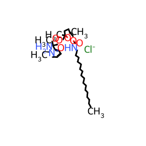 CCCCCCCCCCCCCCCCCCNC(=O)OCC1(C)CCC(C)(COC(=O)C(N)(C(C)=O)c2cccc[n+]2CC)O1.[Cl-]